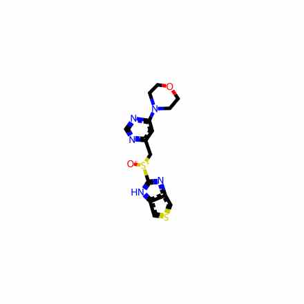 [O-][S+](Cc1cc(N2CCOCC2)ncn1)c1nc2cscc2[nH]1